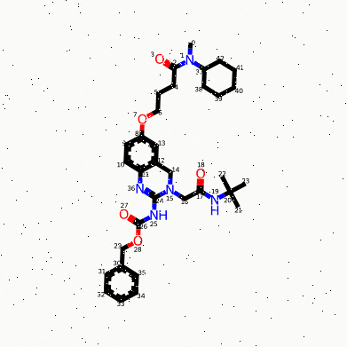 CN(C(=O)CCCOc1ccc2c(c1)CN(CC(=O)NC(C)(C)C)C(NC(=O)OCc1ccccc1)=N2)C1CCCCC1